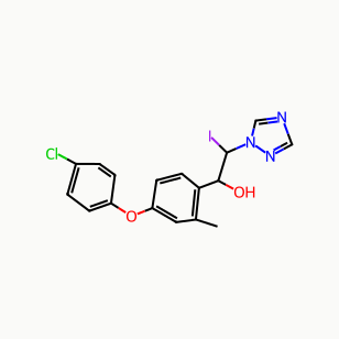 Cc1cc(Oc2ccc(Cl)cc2)ccc1C(O)C(I)n1cncn1